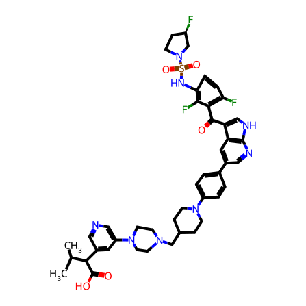 CC(C)C(C(=O)O)c1cncc(N2CCN(CC3CCN(c4ccc(-c5cnc6[nH]cc(C(=O)c7c(F)ccc(NS(=O)(=O)N8CC[C@@H](F)C8)c7F)c6c5)cc4)CC3)CC2)c1